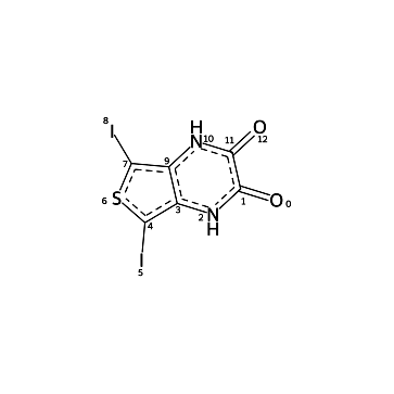 O=c1[nH]c2c(I)sc(I)c2[nH]c1=O